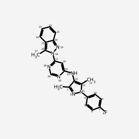 Cc1nn(-c2ccc(F)cc2)c(C)c1Nc1cc(-n2nc3ccccc3c2C)ncn1